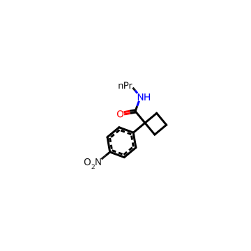 CCCNC(=O)C1(c2ccc([N+](=O)[O-])cc2)CCC1